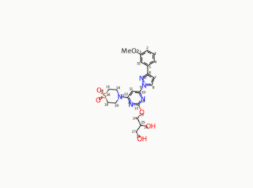 COc1cccc(-c2ccn(-c3cc(N4CCS(=O)(=O)CC4)nc(OCC(O)CO)n3)n2)c1